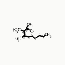 CCCCCCC(C)=C(C)C(=O)O